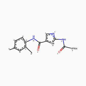 CCCCCCC(=O)Nc1ncc(C(=O)Nc2ccc(C)cc2C)[se]1